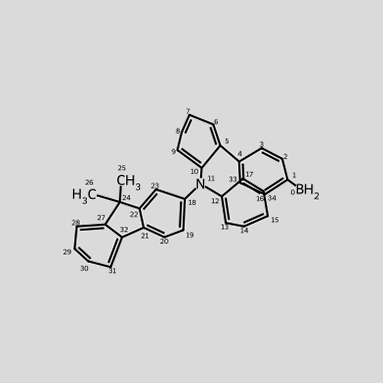 Bc1ccc(-c2ccccc2N(c2ccccc2)c2ccc3c(c2)C(C)(C)c2ccccc2-3)cc1